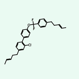 C/C=C/CCc1ccc(C(F)(F)Oc2ccc(-c3ccc(CC/C=C/C)cc3Cl)cc2)cc1